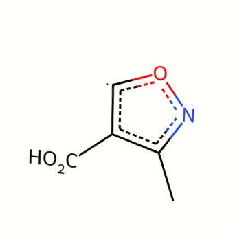 Cc1no[c]c1C(=O)O